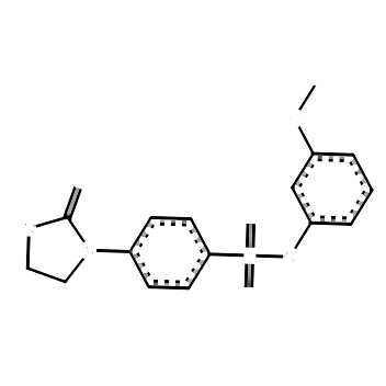 COc1cccc(NS(=O)(=O)c2ccc(N3CCNC3=O)cc2)c1